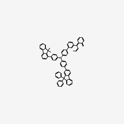 C=c1cccc/c1=C(/C=C\C)c1cccc(-c2ccc(N(c3ccc(-c4ccc5c(c4)C(c4ccccc4)(c4ccccc4)c4ccccc4-5)cc3)c3ccc(-c4cccc5c4C(C)(C)c4ccccc4-5)cc3)cc2)c1